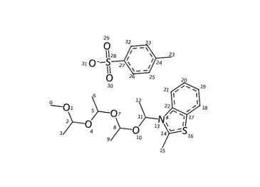 COC(C)OC(C)OC(C)OC(C)[n+]1c(C)sc2ccccc21.Cc1ccc(S(=O)(=O)[O-])cc1